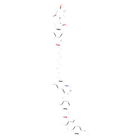 CCc1ccc2c(c1)c(=O)c(C(=O)Nc1ccc(Oc3ncnc4cc(OCCCCCCCC(=O)Nc5ccc6c(c5)C(=O)N(C5CCC(=O)NC5=O)C6)c(OC)cc34)c(F)c1)c(C)n2C